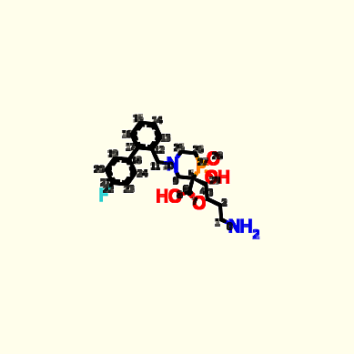 NCCCC[C@@]1(C(=O)O)CN(Cc2ccccc2-c2ccc(F)cc2)CCP1(=O)O